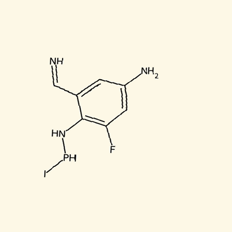 N=Cc1cc(N)cc(F)c1NPI